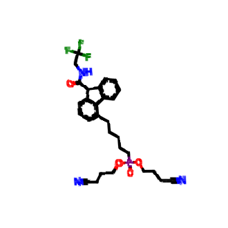 N#CCCCOP(=O)(CCCCCc1cccc2c1-c1ccccc1C2C(=O)NCC(F)(F)F)OCCCC#N